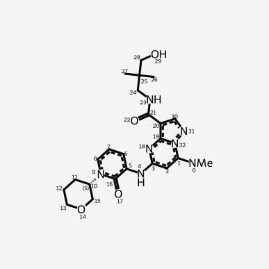 CNc1cc(Nc2cccn([C@H]3CCCOC3)c2=O)nc2c(C(=O)NCC(C)(C)CO)cnn12